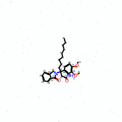 CCCCCCCCCC(CC(N)=O)(c1ccc(OC)c(OC)c1)N1Cc2ccccc2C1=O